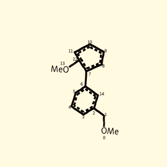 COCc1cccc(-c2ccccc2OC)c1